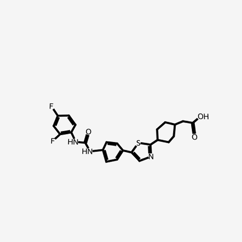 O=C(O)CC1CCC(c2ncc(-c3ccc(NC(=O)Nc4ccc(F)cc4F)cc3)s2)CC1